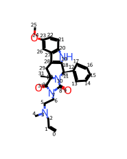 C=CCN(C)CCN1C(=O)N2[C@H](c3ccccc3)c3[nH]c4ccc(OC)cc4c3C[C@@]2(C)C1=O